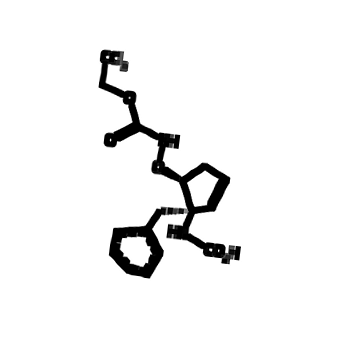 O=C(O)N[C@]1(Cc2ccccc2)C=CC[C@@H]1ONC(=O)OCC(Cl)(Cl)Cl